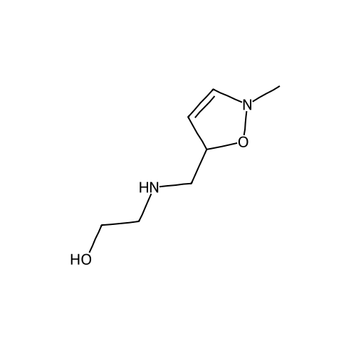 CN1C=CC(CNCCO)O1